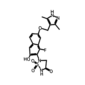 Cc1n[nH]c(C)c1COc1ccc2cc(O)c(N3CC(=O)NS3(=O)=O)c(F)c2c1